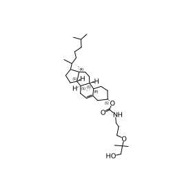 CC(C)CCCC(C)C1CC[C@H]2[C@@H]3CC=C4C[C@@H](OC(=O)NCCCOC(C)(C)CO)CC[C@]4(C)[C@H]3CC[C@]12C